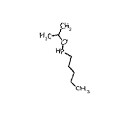 CCCCCPOC(C)C